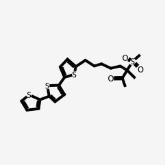 CC(=O)C(C)(CCCCCc1ccc(-c2ccc(-c3cccs3)s2)s1)S(C)(=O)=O